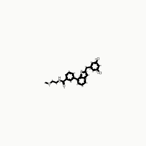 COCCNC(=O)c1cccc(-c2cccc3cc(Cc4cc(Cl)cc(Cl)c4)sc23)c1